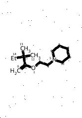 C=C(OCCN1CCCCC1)C(C)(C)CC